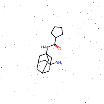 NC12CC3CC(C1)CC([AsH]C(=O)C1CCCC1)(C3)C2